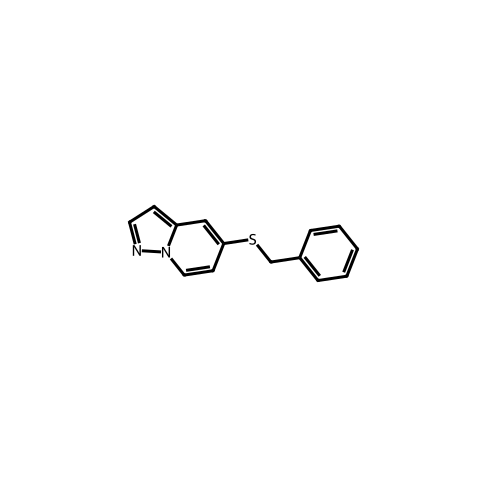 c1ccc(CSc2ccn3nccc3c2)cc1